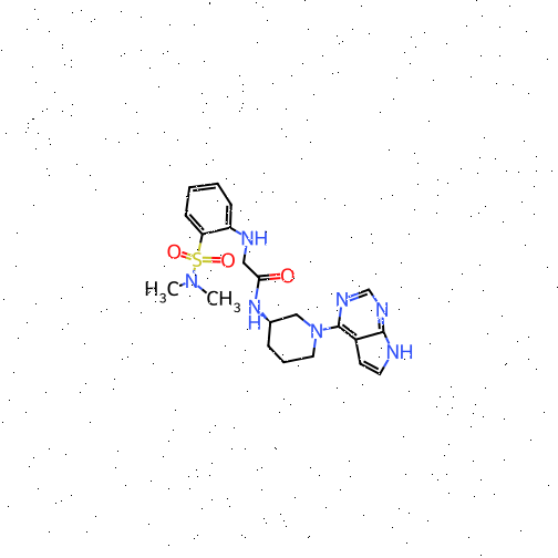 CN(C)S(=O)(=O)c1ccccc1NCC(=O)N[C@@H]1CCCN(c2ncnc3[nH]ccc23)C1